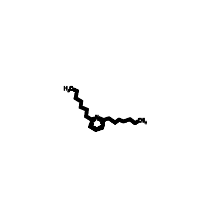 CCCCCCCc1c[c]cc(CCCCCCC)n1